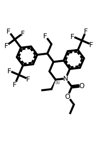 CCOC(=O)N1c2ccc(C(F)(F)F)cc2C(C(CF)c2cc(C(F)(F)F)cc(C(F)(F)F)c2)C[C@@H]1CC